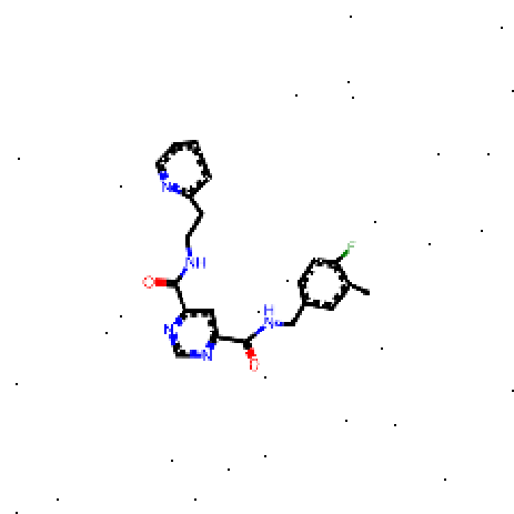 Cc1cc(CNC(=O)c2cc(C(=O)NCCc3ccccn3)ncn2)ccc1F